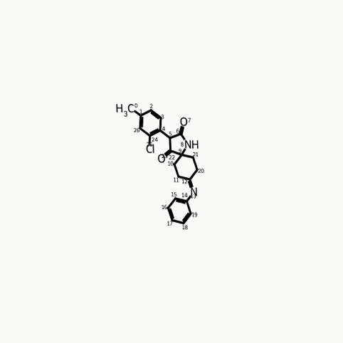 Cc1ccc(C2C(=O)NC3(CCC(=Nc4ccccc4)CC3)C2=O)c(Cl)c1